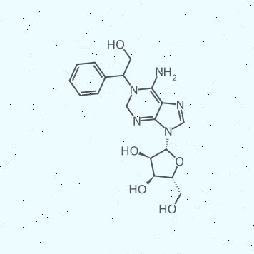 NC1=c2ncn([C@@H]3O[C@H](CO)[C@@H](O)[C@H]3O)c2=NCN1C(CO)c1ccccc1